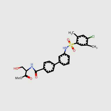 COC(=O)C(CO)NC(=O)c1ccc(-c2cccc(NS(=O)(=O)c3cc(C)c(Cl)cc3C)c2)cc1